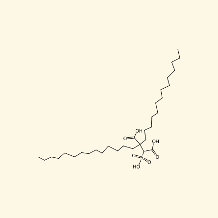 CCCCCCCCCCCCCCC(CCCCCCCCCCCCCC)(C(=O)O)C(C(=O)O)S(=O)(=O)O